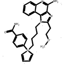 COCCc1nc2c(N)nc3ccccc3c2n1CCCC[N+]1(c2ccc(C(N)=O)cc2)C=CC=C1